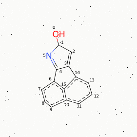 OC1C=C2C(=N1)c1cccc3cccc2c13